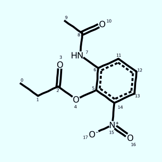 CCC(=O)Oc1c(NC(C)=O)cccc1[N+](=O)[O-]